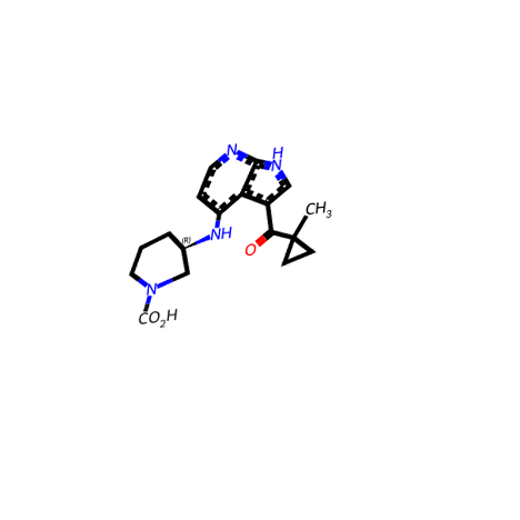 CC1(C(=O)c2c[nH]c3nccc(N[C@@H]4CCCN(C(=O)O)C4)c23)CC1